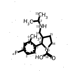 Cc1cc(F)ccc1C1C(CNC(C)C)CCN1C(=O)O